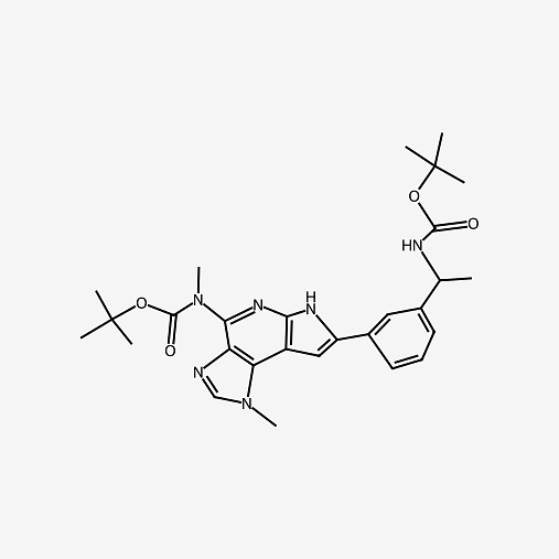 CC(NC(=O)OC(C)(C)C)c1cccc(-c2cc3c(nc(N(C)C(=O)OC(C)(C)C)c4ncn(C)c43)[nH]2)c1